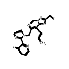 CCCc1c(Cn2ccnc2-c2ncccc2F)ncn2nc(CF)nc12